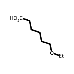 CCOCCCCCC(=O)O